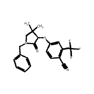 CC1(C)CN(Cc2ccccc2)C(=O)C1Oc1ccc(C#N)c(C(F)(F)F)c1